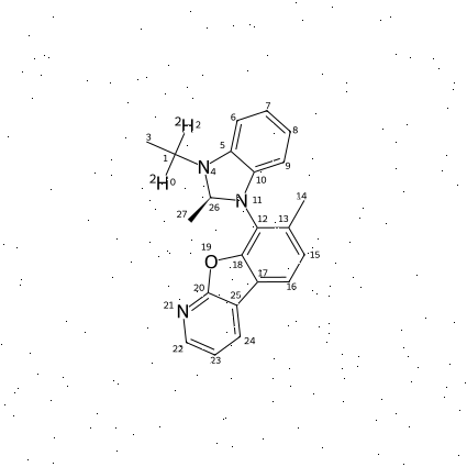 [2H]C([2H])(C)N1c2ccccc2N(c2c(C)ccc3c2oc2ncccc23)[C@H]1C